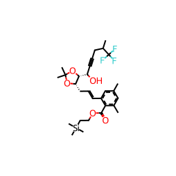 Cc1cc(C)c(C(=O)OCC[Si](C)(C)C)c(/C=C/C[C@@H]2OC(C)(C)O[C@@H]2C(O)C#CCC(C)C(F)(F)F)c1